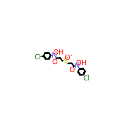 O=C(CC[S+]([O-])CCC(=O)N(O)c1ccc(Cl)cc1)N(O)c1ccc(Cl)cc1